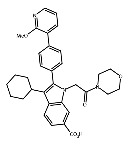 COc1ncccc1-c1ccc(-c2c(C3CCCCC3)c3ccc(C(=O)O)cc3n2CC(=O)N2CCOCC2)cc1